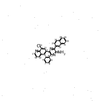 Nc1nc(-c2ccccc2)c(-c2cc(Cl)c3ncccc3c2)nc1-c1ccc2ccccc2c1